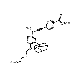 COCCOCOc1ccc(C(O)C#Cc2ccc(C(=O)OC)cc2)cc1C12CC3CC(CC(C3)C1)C2